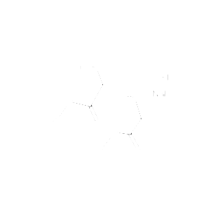 CCCCCCCCCCCC(=O)OO.CCCCCCCCCCCC(=O)OO.[KH].[NaH]